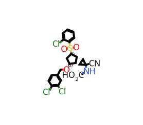 N#CC1(NC(=O)O)CC1.O=S(=O)(c1ccccc1Cl)[C@H]1CC[C@H](OCc2ccc(Cl)c(Cl)c2)C1